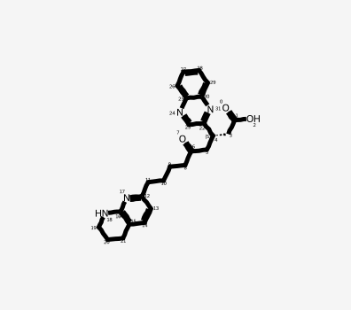 O=C(O)C[C@H](CC(=O)CCCCc1ccc2c(n1)NCCC2)c1cnc2ccccc2n1